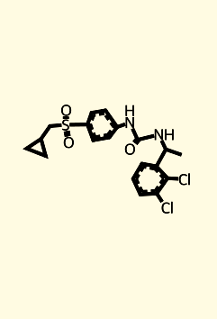 CC(NC(=O)Nc1ccc(S(=O)(=O)CC2CC2)cc1)c1cccc(Cl)c1Cl